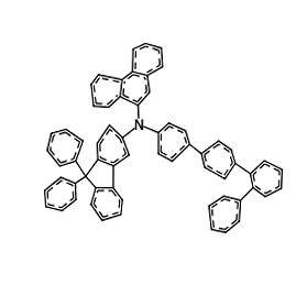 c1ccc(-c2ccccc2-c2ccc(-c3ccc(N(c4ccc5c(c4)-c4ccccc4C5(c4ccccc4)c4ccccc4)c4cc5ccccc5c5ccccc45)cc3)cc2)cc1